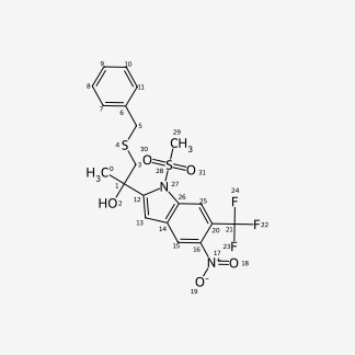 CC(O)(CSCc1ccccc1)c1cc2cc([N+](=O)[O-])c(C(F)(F)F)cc2n1S(C)(=O)=O